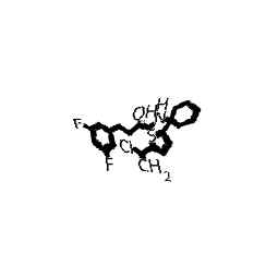 C=C(Cl)c1ccc(C2(NC[C@@H](O)CCc3cc(F)cc(F)c3)CCCCC2)s1